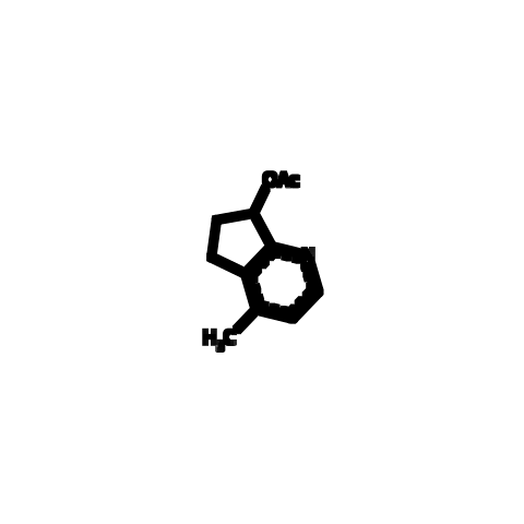 CC(=O)OC1CCc2c(C)ccnc21